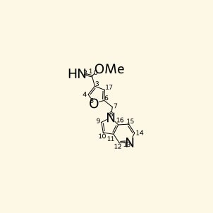 COC(=N)c1coc(Cn2ccc3cnccc32)c1